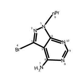 CCCn1nc(Br)c2c(N)ncnc21